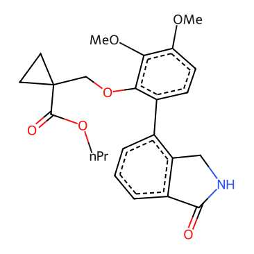 CCCOC(=O)C1(COc2c(-c3cccc4c3CNC4=O)ccc(OC)c2OC)CC1